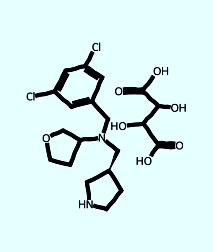 Clc1cc(Cl)cc(CN(C[C@H]2CCNC2)C2CCOC2)c1.O=C(O)C(O)C(O)C(=O)O